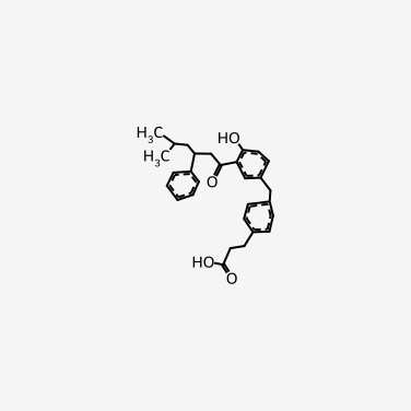 CC(C)CC(CC(=O)c1cc(Cc2ccc(CCC(=O)O)cc2)ccc1O)c1ccccc1